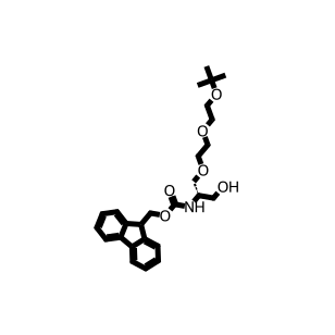 CC(C)(C)OCCOCCOC[C@H](CO)NC(=O)OCC1c2ccccc2-c2ccccc21